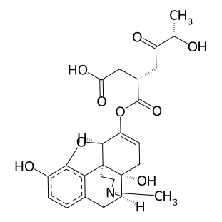 C[C@H](O)C(=O)C[C@@H](CC(=O)O)C(=O)OC1=CC[C@@]2(O)[C@H]3Cc4ccc(O)c5c4[C@@]2(CCN3C)[C@H]1O5